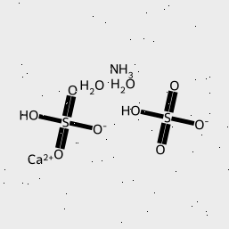 N.O.O.O=S(=O)([O-])O.O=S(=O)([O-])O.[Ca+2]